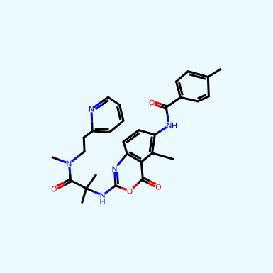 Cc1ccc(C(=O)Nc2ccc3nc(NC(C)(C)C(=O)N(C)CCc4ccccn4)oc(=O)c3c2C)cc1